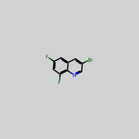 Fc1cc(F)c2ncc(Br)cc2c1